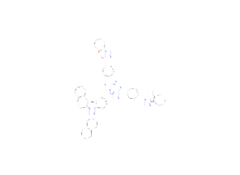 c1ccc2cc(-n3c4ccc(-c5nc(-c6ccc(-c7nc8ccccc8o7)cc6)nc(-c6ccc(-c7nc8ccccc8o7)cc6)n5)cc4c4c5ccccc5ccc43)ccc2c1